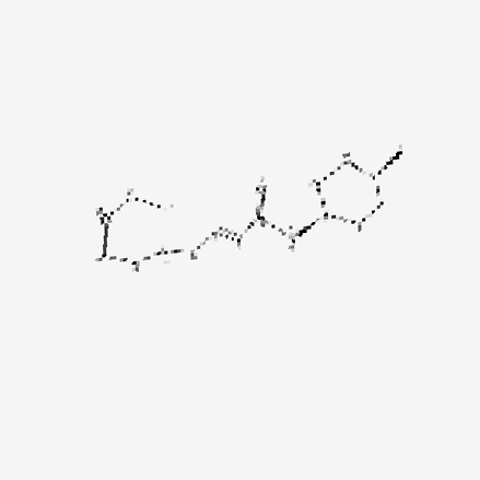 C[C@H]1CC[C@@H](NC(=O)/C=C/CN2CCOCC2)CC1